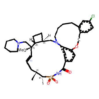 CO[C@]1(CN2CCCCC2)/C=C/C[C@H](C)[C@@H](C)S(=O)(=O)NC(=O)c2ccc3c(c2)N(CCCCc2cc(Cl)ccc2CO3)C[C@@H]2CC[C@H]21